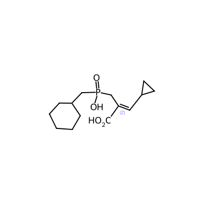 O=C(O)/C(=C/C1CC1)CP(=O)(O)CC1CCCCC1